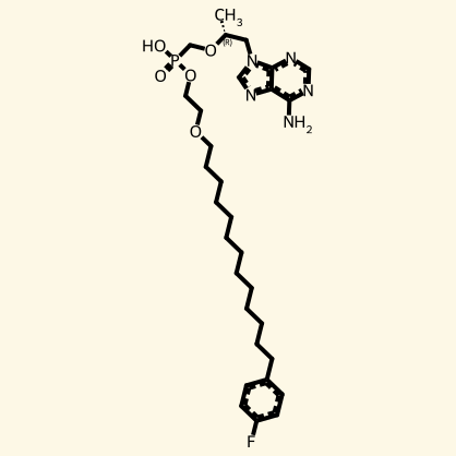 C[C@H](Cn1cnc2c(N)ncnc21)OCP(=O)(O)OCCOCCCCCCCCCCCCCc1ccc(F)cc1